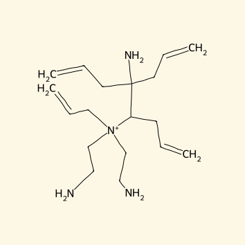 C=CCC(C(N)(CC=C)CC=C)[N+](CC=C)(CCN)CCN